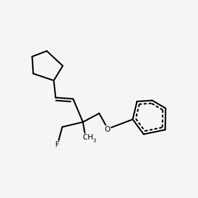 CC(/C=C/C1CCCC1)(CF)COc1ccccc1